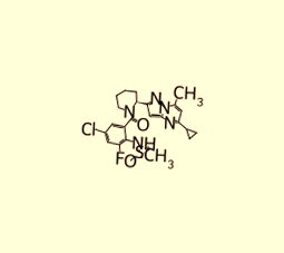 Cc1cc(C2CC2)nc2cc([C@@H]3CCCCN3C(=O)c3cc(Cl)cc(F)c3N[S+](C)[O-])nn12